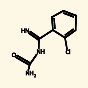 N=C(NC(N)=O)c1ccccc1Cl